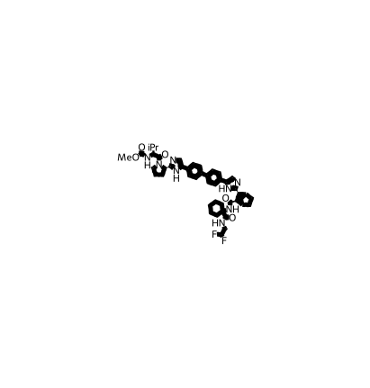 COC(=O)N[C@H](C(=O)N1CCC[C@H]1c1ncc(-c2ccc(-c3ccc(-c4cnc([C@@H]5C6CCC(C6)[C@H]5C(=O)NC5(C(=O)NCC(F)F)CCCCC5)[nH]4)cc3)cc2)[nH]1)C(C)C